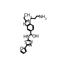 CCc1nc2cc(C(O)Nc3nnc(-c4ccco4)s3)ccc2n1CCCN